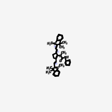 CN(C(=O)Nc1ccccc1)C1=C(/C=C/C2=[N+](C)c3ccccc3C2(C)C)CC/C1=C\C=C1\N(C)c2ccccc2C1(C)C